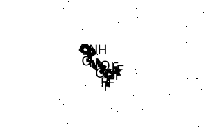 O=C(c1c[nH]c2ccccc12)N1CCN(S(=O)(=O)c2cc(C(F)(F)F)cc(C(F)(F)F)c2)CC1